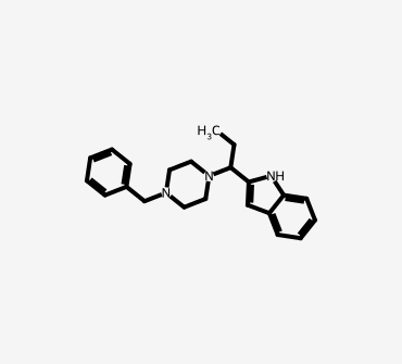 CCC(c1cc2ccccc2[nH]1)N1CCN(Cc2ccccc2)CC1